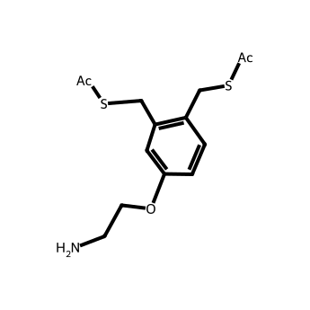 CC(=O)SCc1ccc(OCCN)cc1CSC(C)=O